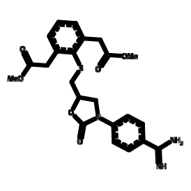 COC(=O)Cc1cccc(CC(=O)OC)c1SCC1CN(c2ccc(C(=N)N)cc2)C(=O)O1